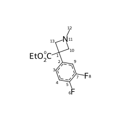 CCOC(=O)C1(c2ccc(F)c(F)c2)CN(C)C1